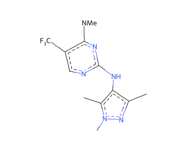 CNc1nc(Nc2c(C)nn(C)c2C)ncc1C(F)(F)F